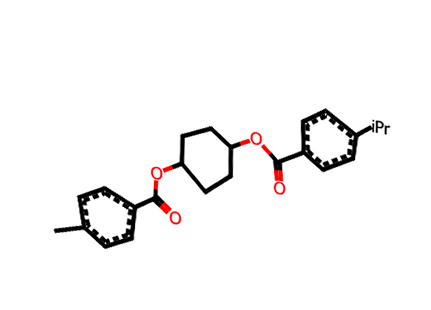 Cc1ccc(C(=O)OC2CCC(OC(=O)c3ccc(C(C)C)cc3)CC2)cc1